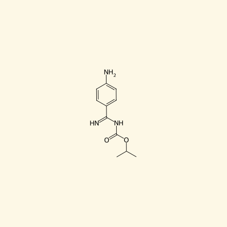 CC(C)OC(=O)NC(=N)c1ccc(N)cc1